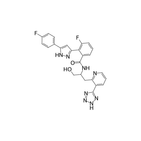 O=C(NC(CO)Cc1ncccc1-c1nn[nH]n1)c1cccc(F)c1-c1cc(-c2ccc(F)cc2)[nH]n1